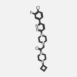 O=C(CN1CCN(c2ccc(-c3ccc(Cl)c(F)c3)nn2)CC1)N1CCN(C2CCC2)CC1